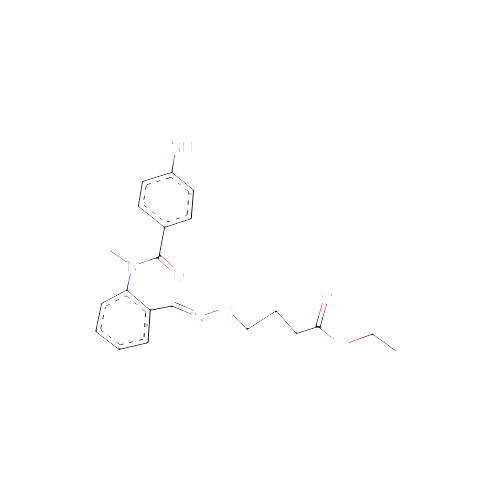 CCOC(=O)CCCON=Cc1ccccc1N(C)C(=O)c1ccc(N)cc1